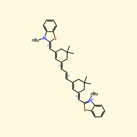 CCCCN1/C(=C/C2=CC(=C/C=C/C3=CC(=C/c4sc5ccccc5[n+]4CCCC)/CC(C)(C)C3)/CC(C)(C)C2)Sc2ccccc21